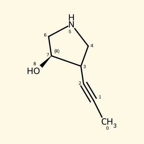 CC#CC1CNC[C@@H]1O